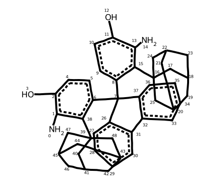 Nc1c(O)ccc(C2(c3ccc(O)c(N)c3C34CC5CC(CC(C5)C3)C4)c3ccccc3-c3ccccc32)c1C12CC3CC(CC(C3)C1)C2